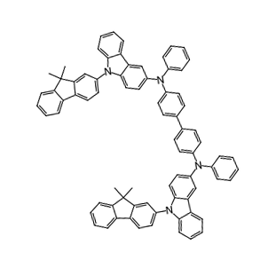 CC1(C)c2ccccc2-c2ccc(-n3c4ccccc4c4cc(N(c5ccccc5)c5ccc(-c6ccc(N(c7ccccc7)c7ccc8c(c7)c7ccccc7n8-c7ccc8c(c7)C(C)(C)c7ccccc7-8)cc6)cc5)ccc43)cc21